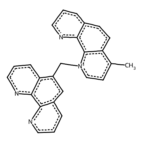 Cc1cc[n+](Cc2cc3cccnc3c3ncccc23)c2c1ccc1cccnc12